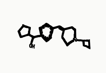 OC(c1ccc(C=C2CCN(C3CCC3)CC2)cc1)C1CCCC1